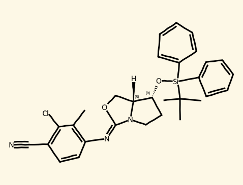 Cc1c(N=C2OC[C@@H]3[C@H](O[Si](c4ccccc4)(c4ccccc4)C(C)(C)C)CCN23)ccc(C#N)c1Cl